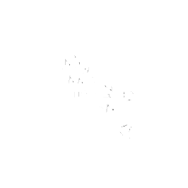 NC1NCNC2C1NCN2[C@@H]1O[C@H](CN(CCNCCc2ccc(Cl)cc2)Cc2ccccc2)[C@@H](O)[C@H]1O